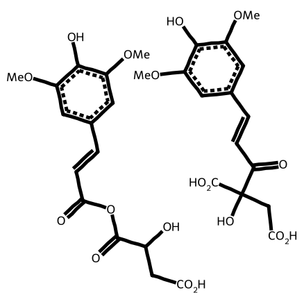 COc1cc(/C=C/C(=O)C(O)(CC(=O)O)C(=O)O)cc(OC)c1O.COc1cc(/C=C/C(=O)OC(=O)C(O)CC(=O)O)cc(OC)c1O